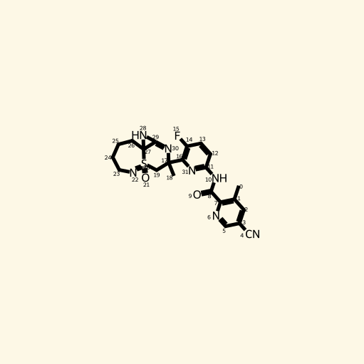 Cc1cc(C#N)cnc1C(=O)Nc1ccc(F)c(C2(C)CS3(=O)=NCCCCC34NC4=N2)n1